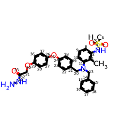 Cc1c(NS(C)(=O)=O)cccc1N(Cc1ccccc1)Cc1ccc(Oc2ccc(OCC(=O)NN)cc2)cc1